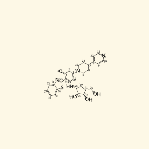 O=C1CC(N2CCC(c3ccncc3)CC2)=NC(N[C@@H]2C[C@H](CO)[C@@H](O)[C@H]2O)=C1c1nc2ccccc2s1